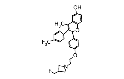 CC1=C(c2ccc(C(F)(F)F)cc2)C(c2ccc(OCCN3CC(CF)C3)cc2)Oc2ccc(O)cc21